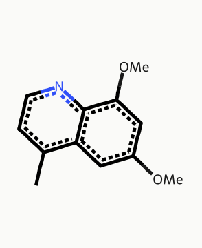 COc1cc(OC)c2nccc(C)c2c1